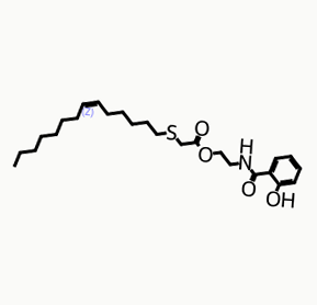 CCCCCCC/C=C\CCCCCSCC(=O)OCCNC(=O)c1ccccc1O